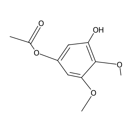 COc1cc(OC(C)=O)cc(O)c1OC